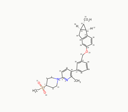 Cc1nc(N2CCC(S(C)(=O)=O)CC2)ccc1-c1cccc(COc2ccc3c(c2)C[C@H]2[C@H](C(=O)O)[C@@H]32)c1